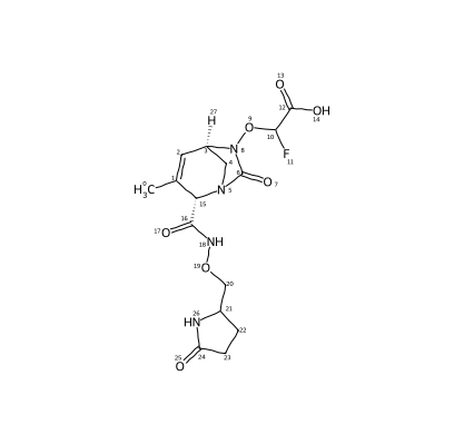 CC1=C[C@@H]2CN(C(=O)N2OC(F)C(=O)O)[C@@H]1C(=O)NOCC1CCC(=O)N1